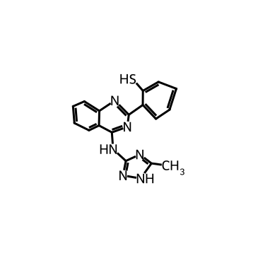 Cc1nc(Nc2nc(-c3ccccc3S)nc3ccccc23)n[nH]1